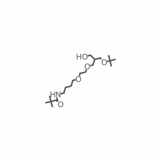 CC(C)(C)OCC(CO)COCCOCCCCNC(=O)C(C)(C)C